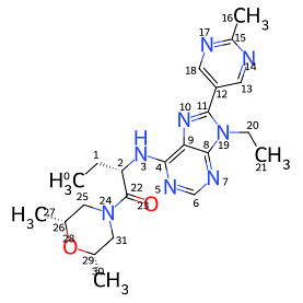 CC[C@H](Nc1ncnc2c1nc(-c1cnc(C)nc1)n2CC)C(=O)N1C[C@@H](C)O[C@@H](C)C1